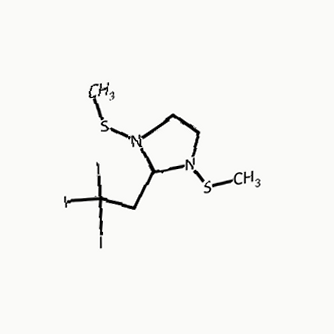 CSN1CCN(SC)C1CC(I)(I)I